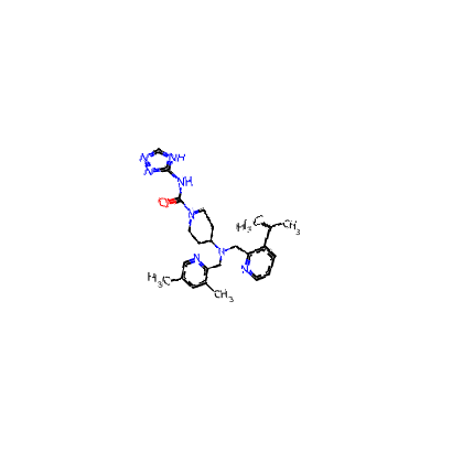 Cc1cnc(CN(Cc2ncccc2C(C)C)C2CCN(C(=O)Nc3nnc[nH]3)CC2)c(C)c1